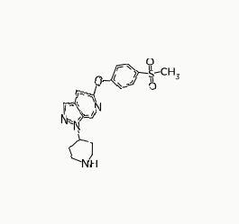 CS(=O)(=O)c1ccc(Oc2cc3cnn(C4CCNCC4)c3cn2)cc1